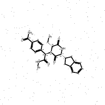 CC(C)C[C@@H]1C(=O)N[C@H](C2Cc3ccccc3C2)C(=O)N1[C@@H](C(=O)NC(C)C)c1ccc(C(N)=O)cc1